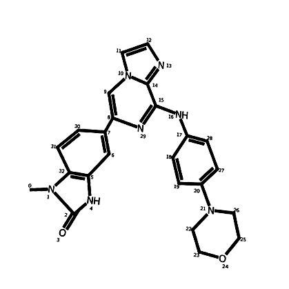 Cn1c(=O)[nH]c2cc(-c3cn4ccnc4c(Nc4ccc(N5CCOCC5)cc4)n3)ccc21